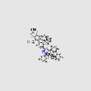 C=C/C=C\c1ccc2c(c1C)-c1ccc(-c3nc(-c4ccccc4)nc(-c4cccc5c4C(C)(C)c4ccccc4-5)n3)cc1C21C2CC3CC(C2)CC1C3